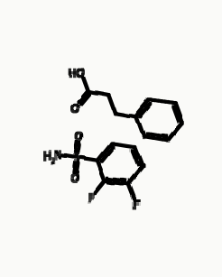 NS(=O)(=O)c1cccc(F)c1F.O=C(O)CCc1ccccc1